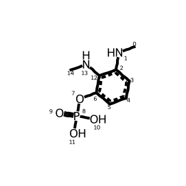 CNc1cccc(OP(=O)(O)O)c1NC